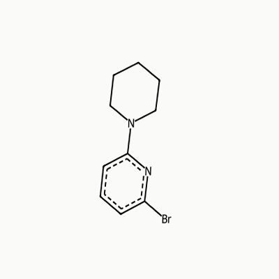 Brc1cccc(N2CCCCC2)n1